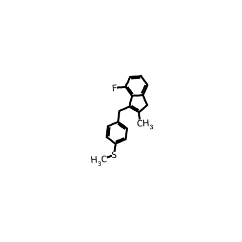 CSc1ccc(CC2=C(C)Cc3cccc(F)c32)cc1